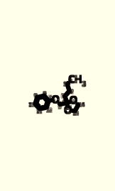 CCCCC1(COc2ccccc2)OCCO1